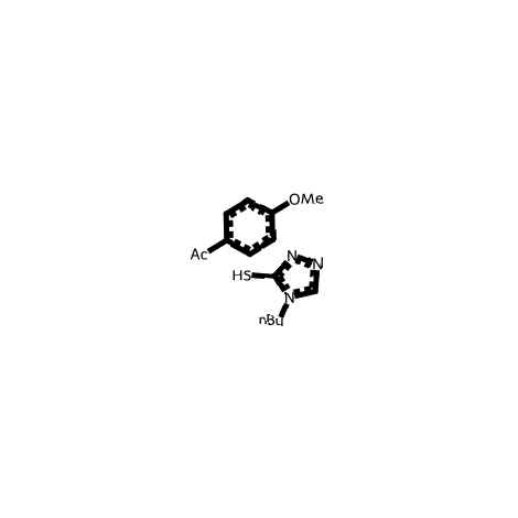 CCCCn1cnnc1S.COc1ccc(C(C)=O)cc1